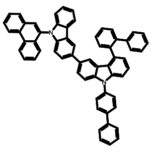 c1ccc(-c2ccc(-n3c4ccc(-c5ccc6c(c5)c5ccccc5n6-c5cc6ccccc6c6ccccc56)cc4c4c(-c5ccccc5-c5ccccc5)cccc43)cc2)cc1